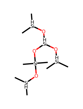 C[SiH](C)O[SiH](O[SiH](C)C)O[Si](C)(C)O[SiH](C)C